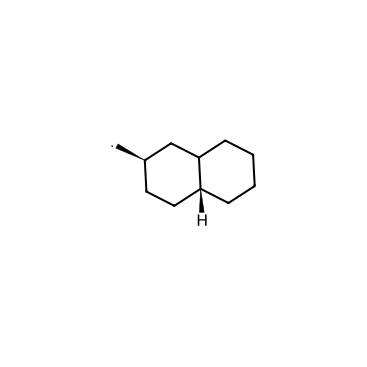 [CH2][C@@H]1CC[C@H]2CCCCC2C1